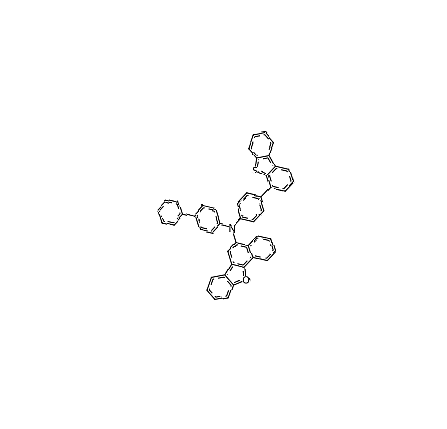 c1ccc(-c2ccc(N(c3ccc(-c4cccc5c4sc4ccccc45)cc3)c3cc4c5ccccc5oc4c4ccccc34)cc2)cc1